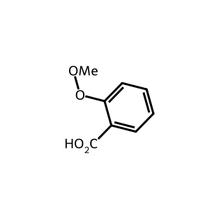 COOc1ccccc1C(=O)O